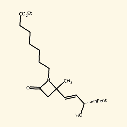 CCCCC[C@H](O)/C=C/C1(C)CC(=O)N1CCCCCCC(=O)OCC